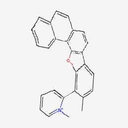 Cc1ccc2c(oc3c2ccc2ccc4ccccc4c23)c1-c1cccc[n+]1C